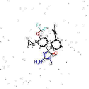 CC#Cc1cccc([C@]2(c3ccc(OC(F)F)c(C4CC4)c3)N=C(N)N(C)C2=O)c1